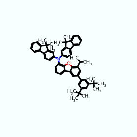 CC(C)c1cc(-c2cc(C(C)(C)C)cc(C(C)(C)C)c2)cc2c1oc1c(N(c3ccc4c(c3)C(C)(C)c3ccccc3-4)c3ccc4c(c3)C(C)(C)c3ccccc3-4)cccc12